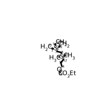 C=C[Si](C=C)(C=C)CC[Si](C)(C)CCCOC(=O)OCC